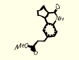 COC(=O)CCc1ccc2c(c1)C1CCCC1C(=O)N2